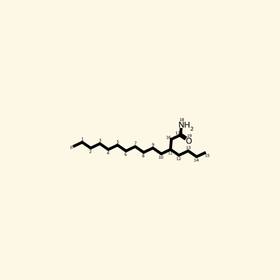 CCCCCCCCCCCC(CCCC)CC(N)=O